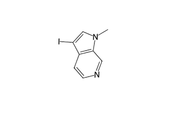 Cn1cc(I)c2ccncc21